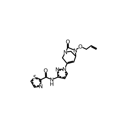 C=CCON1C(=O)N2CC(n3ccc(NC(=O)c4nccs4)n3)=CC1C2